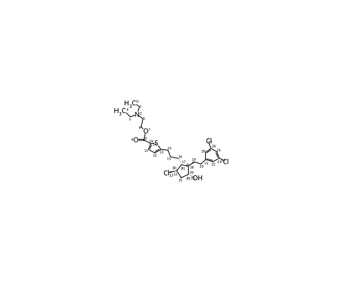 CCN(CC)CCOC(=O)c1ccc(CCC[C@@H]2[C@@H](CCc3cc(Cl)cc(Cl)c3)[C@H](O)C[C@H]2Cl)s1